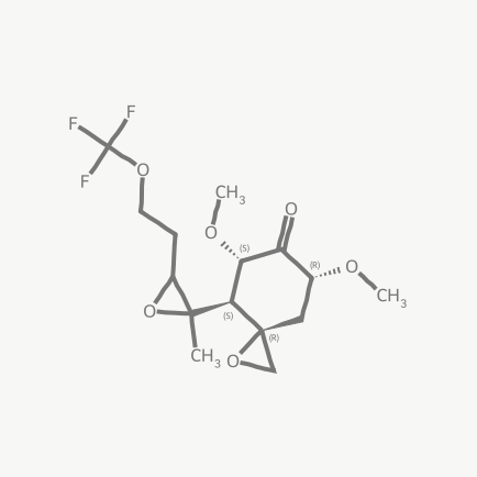 CO[C@@H]1C(=O)[C@H](OC)C[C@]2(CO2)[C@H]1C1(C)OC1CCOC(F)(F)F